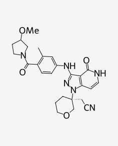 COC1CCN(C(=O)c2ccc(Nc3nn([C@]4(CC#N)CCCOC4)c4cc[nH]c(=O)c34)cc2C)C1